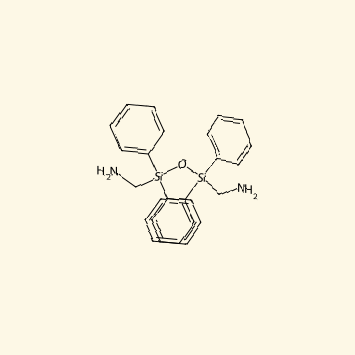 NC[Si](O[Si](CN)(c1ccccc1)c1ccccc1)(c1ccccc1)c1ccccc1